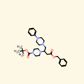 CC(C)(C)OC(=O)N1CCN(C(CC(=O)OCc2ccccc2)CN2CCN(c3ccccc3)CC2)CC1